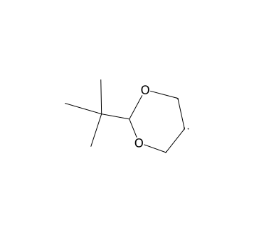 CC(C)(C)C1OC[CH]CO1